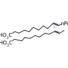 CC=CCCCCCCCCC(=O)O.CCC/C=C/CCCCCCCCC(=O)O